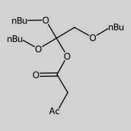 CCCCOCC(OCCCC)(OCCCC)OC(=O)CC(C)=O